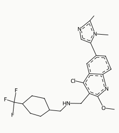 COc1nc2ccc(-c3cnc(C)n3C)cc2c(Cl)c1CNCC1CCC(C(F)(F)F)CC1